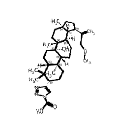 [CH2][C@]12CC[C@@H](C(=C)COC)[C@@H]1[C@H]1CC[C@@H]3[C@@]4(C)CC[C@H](c5cn(C(=O)O)nn5)C(C)(C)[C@@H]4CC[C@@]3(C)[C@]1(C)CC2